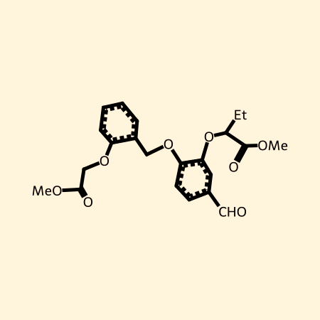 CCC(Oc1cc(C=O)ccc1OCc1ccccc1OCC(=O)OC)C(=O)OC